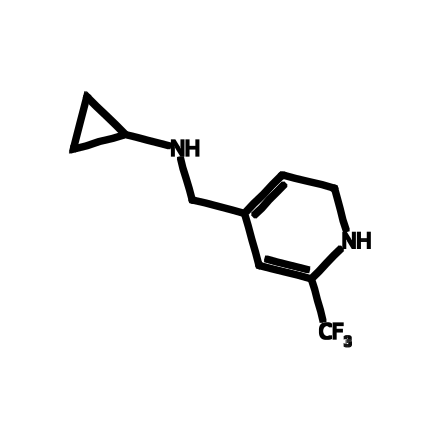 FC(F)(F)C1=CC(CNC2CC2)=CCN1